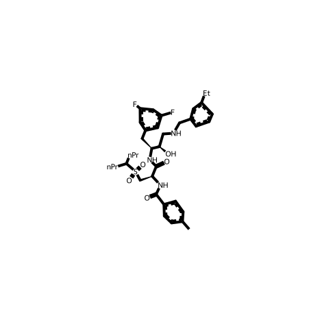 CCCC(CCC)S(=O)(=O)C[C@H](NC(=O)c1ccc(C)cc1)C(=O)N[C@@H](Cc1cc(F)cc(F)c1)[C@H](O)CNCc1cccc(CC)c1